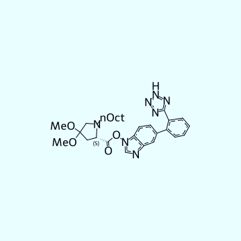 CCCCCCCCN1CC(OC)(OC)C[C@H]1C(=O)On1cnc2cc(-c3ccccc3-c3nn[nH]n3)ccc21